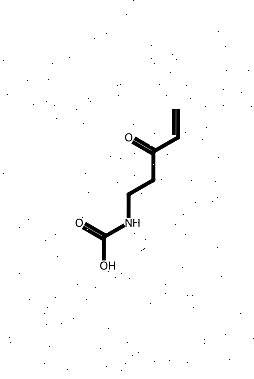 C=CC(=O)CCNC(=O)O